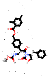 Cc1ccc(C(=O)OCc2ccc([C@H](CNC(=O)OC(C)(C)C)C(=O)N3C(=O)OC[C@H]3Cc3ccccc3)cc2)c(C)c1